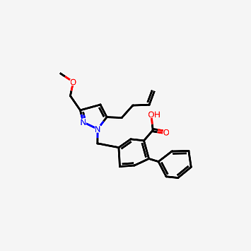 C=CCCc1cc(COC)nn1Cc1ccc(-c2ccccc2)c(C(=O)O)c1